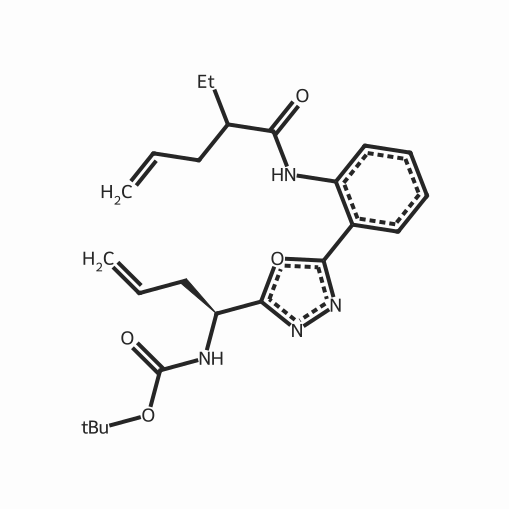 C=CCC(CC)C(=O)Nc1ccccc1-c1nnc([C@H](CC=C)NC(=O)OC(C)(C)C)o1